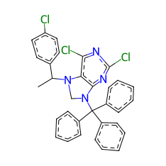 CC(c1ccc(Cl)cc1)N1CN(C(c2ccccc2)(c2ccccc2)c2ccccc2)c2nc(Cl)nc(Cl)c21